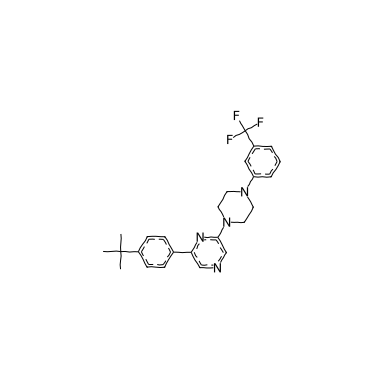 CC(C)(C)c1ccc(-c2cncc(N3CCN(c4cccc(C(F)(F)F)c4)CC3)n2)cc1